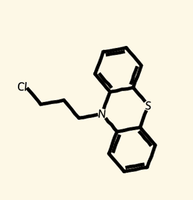 ClCCCN1c2ccccc2Sc2ccccc21